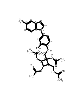 CC(=O)OCC1[C@@H](OC(C)=O)C(OC(C)=O)C1(OC(C)=O)[C@H](O)Oc1ccc(-n2ccc3cc(N)ccc32)cc1Cl